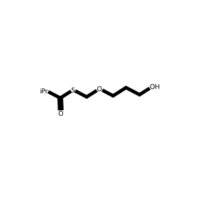 CC(C)C(=O)SCOCCCO